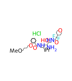 COCCCCOc1ccccc1C(=O)NCC(CC(N)C(O)CNC(=O)C(F)(F)C1CCOCC1)C(C)C.Cl